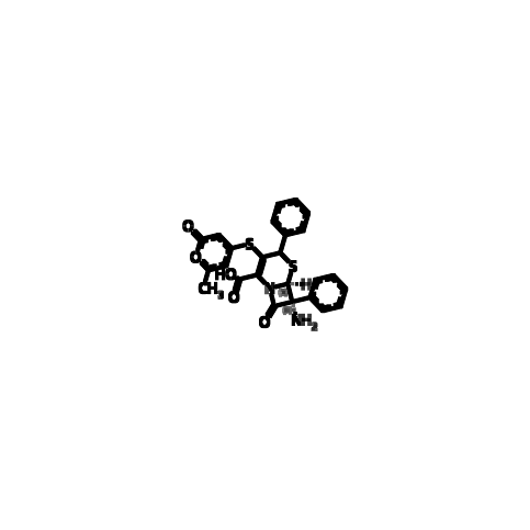 Cc1cc(SC2=C(C(=O)O)N3C(=O)[C@](N)(c4ccccc4)[C@@H]3SC2c2ccccc2)cc(=O)o1